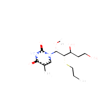 CCCS[C@@H](C(O)CCO)[C@@H](OC)n1cc(C)c(=O)[nH]c1=O